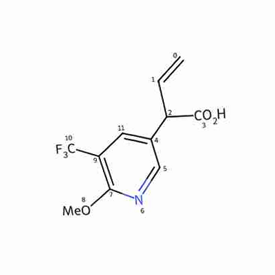 C=CC(C(=O)O)c1cnc(OC)c(C(F)(F)F)c1